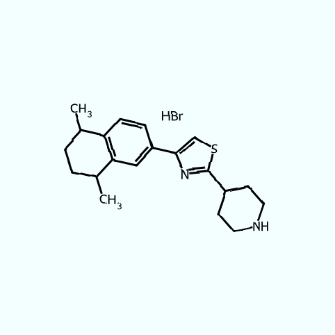 Br.CC1CCC(C)c2cc(-c3csc(C4CCNCC4)n3)ccc21